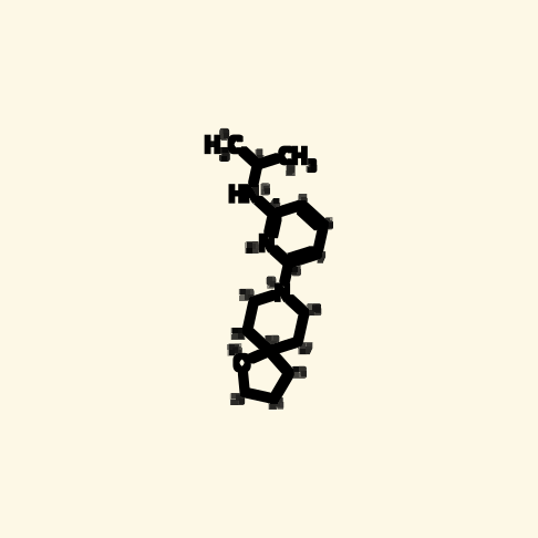 CC(C)Nc1cccc(N2CCC3(CCCO3)CC2)n1